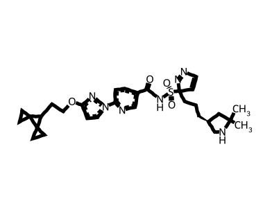 CC1(C)C[C@H](CCCC2(S(=O)(=O)NC(=O)c3ccc(-n4ccc(OCCC5C6(CC6)C56CC6)n4)nc3)C=CN=N2)CN1